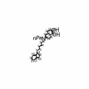 CCCN(CCCCCCN1CCc2ccccc21)[C@H]1CCc2c(ccc(O)c2O)C1